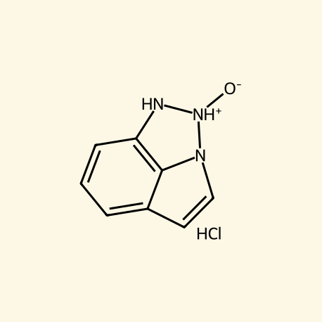 Cl.[O-][NH+]1Nc2cccc3ccn1c23